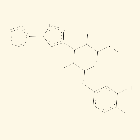 OCC1OC(Sc2ccc(Cl)c(Cl)c2)C(O)C(n2cc(-c3cscn3)nn2)C1O